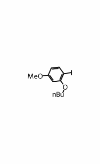 CCCCOc1cc(OC)ccc1I